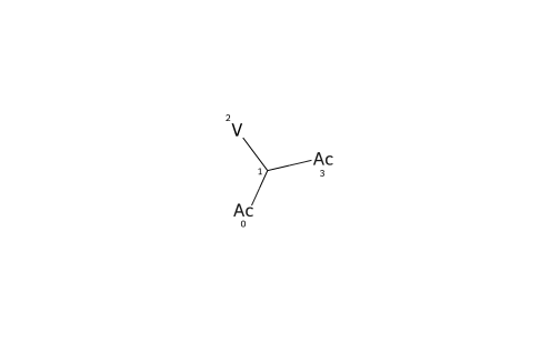 CC(=O)[CH]([V])C(C)=O